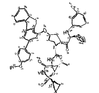 C=C[C@@H]1C[C@]1(NC(=O)[C@@H]1C[C@@H](Oc2nc(-c3ccc(OC(C)C)cc3)nc3c2sc2ccccc23)CN1C(=O)[C@@H](Nc1cccc(C(F)(F)F)c1)C(C)(C)C)C(=O)NS(=O)(=O)C1CC1